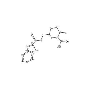 CCC(=O)N1CC(CCC(=O)c2cc3ccccc3s2)CCC1C